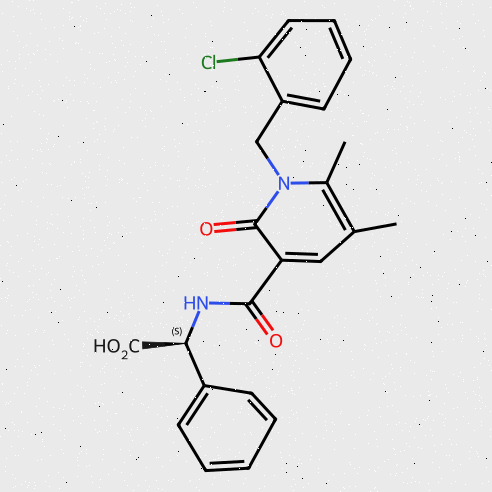 Cc1cc(C(=O)N[C@H](C(=O)O)c2ccccc2)c(=O)n(Cc2ccccc2Cl)c1C